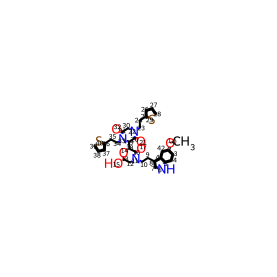 COc1ccc2[nH]cc(CCN(CC(=O)O)C(=O)CC3C(=O)N(CCc4cccs4)CC(=O)N3CCc3cccs3)c2c1